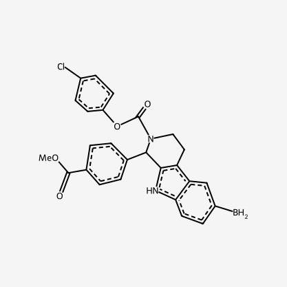 Bc1ccc2[nH]c3c(c2c1)CCN(C(=O)Oc1ccc(Cl)cc1)C3c1ccc(C(=O)OC)cc1